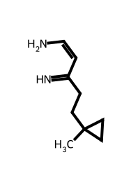 CC1(CCC(=N)/C=C\N)CC1